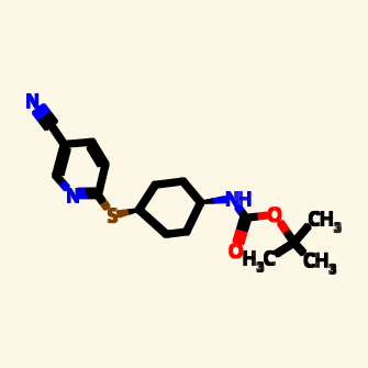 CC(C)(C)OC(=O)N[C@H]1CC[C@@H](Sc2ccc(C#N)cn2)CC1